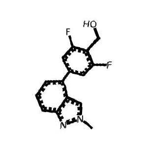 Cn1cc2c(-c3cc(F)c(CO)c(F)c3)cccc2n1